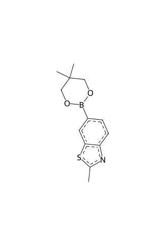 Cc1nc2ccc(B3OCC(C)(C)CO3)cc2s1